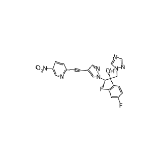 C[C@@H](n1cc(C#Cc2ccc([N+](=O)[O-])cn2)cn1)[C@](O)(Cn1cncn1)c1ccc(F)cc1F